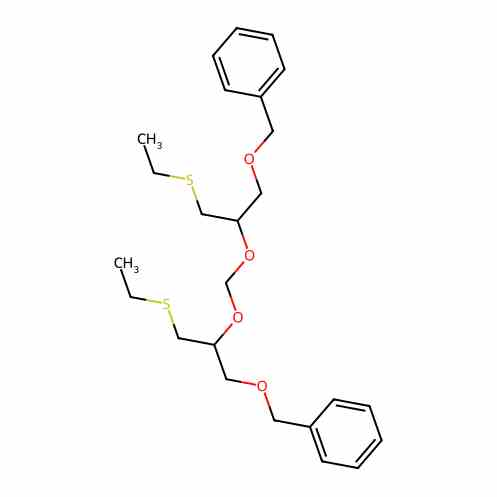 CCSCC(COCc1ccccc1)OCOC(COCc1ccccc1)CSCC